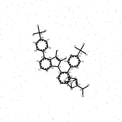 CC1=C(C)C(c2ccc3c(c2-c2ccc(C(C)(C)C)cc2)C2=C(C(C)C)C3[Si]2(C)C)c2cccc(-c3ccc(C(C)(C)C)cc3)c21